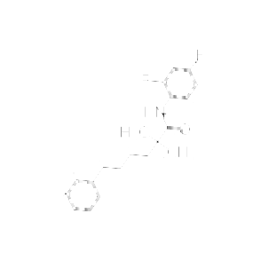 CC(C)(CCCCc1ccccc1)C(=O)Nc1ccc(F)[c]c1F